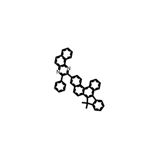 CC1(C)c2ccccc2-c2c1c1ccc3cc(-c4nc5c(ccc6ccccc65)nc4-c4ccccc4)ccc3c1c1ccccc21